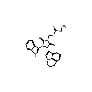 NCC(=O)OCN1C(=O)[C@H](c2c[nH]c3ccccc23)[C@@H](c2cn3c4c(cccc24)CCC3)C1=O